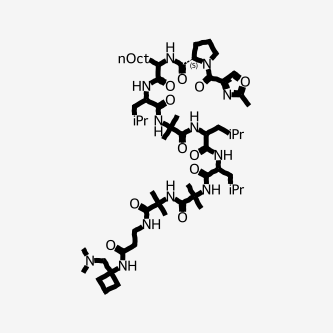 CCCCCCCCC(NC(=O)[C@@H]1CCCN1C(=O)c1coc(C)n1)C(=O)NC(CC(C)C)C(=O)NC(C)(C)C(=O)NC(CC(C)C)C(=O)NC(CC(C)C)C(=O)NC(C)(C)C(=O)NC(C)(C)C(=O)NCCC(=O)NC1(CN(C)C)CCC1